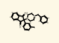 Cc1cccc(C2(N3CCN(Cc4ccccc4)CC3)C(=O)c3ccccc3C2=O)c1